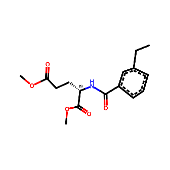 CCc1cccc(C(=O)N[C@@H](CCC(=O)OC)C(=O)OC)c1